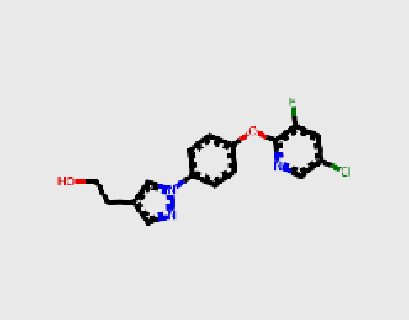 OCCc1cnn(-c2ccc(Oc3ncc(Cl)cc3F)cc2)c1